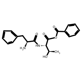 C[C@@H](O)[C@H](NC(=O)[C@@H](N)Cc1ccccc1)C(=O)OC(=O)c1ccccc1